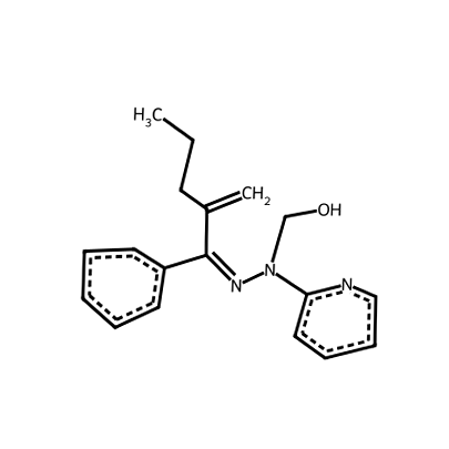 C=C(CCC)/C(=N\N(CO)c1ccccn1)c1ccccc1